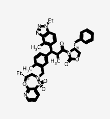 CC[C@@H]1CN(Cc2cc(C(c3ccc4c(nnn4CC)c3C)C(C)C(=O)N3C(=O)OC[C@H]3Cc3ccccc3)ccc2C)S(=O)(=O)c2cccnc2O1